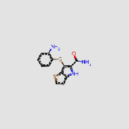 NC(=O)c1[nH]c2ccsc2c1Sc1ccccc1N